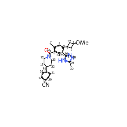 COC1CC(c2cc(C)c(C(=O)N3CCC(c4ccc(C#N)cc4)CC3)cc2-c2nnc(C)[nH]2)C1